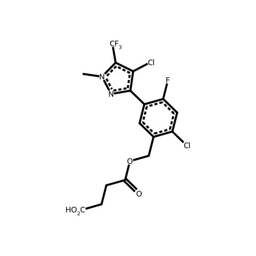 Cn1nc(-c2cc(COC(=O)CCC(=O)O)c(Cl)cc2F)c(Cl)c1C(F)(F)F